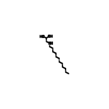 CCCCCCCCCCCCNCC(O)O